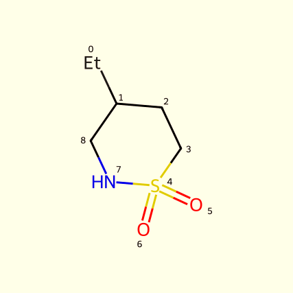 CCC1CCS(=O)(=O)NC1